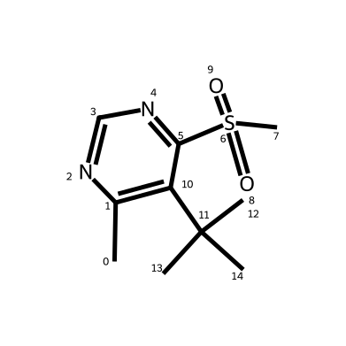 Cc1ncnc(S(C)(=O)=O)c1C(C)(C)C